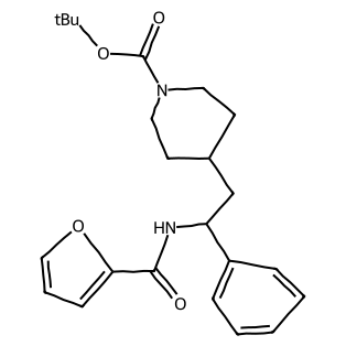 CC(C)(C)OC(=O)N1CCC(CC(NC(=O)c2ccco2)c2ccccc2)CC1